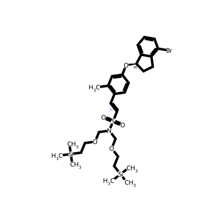 Cc1cc(O[C@@H]2CCc3c(Br)cccc32)ccc1/C=C/S(=O)(=O)N(COCC[Si](C)(C)C)COCC[Si](C)(C)C